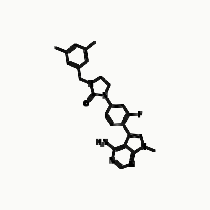 Cc1cc(C)cc(CN2CCN(c3ccc(-c4cn(C)c5ncnc(N)c45)c(F)c3)C2=O)c1